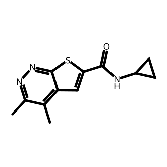 Cc1nnc2sc(C(=O)NC3CC3)cc2c1C